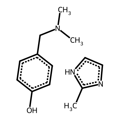 CN(C)Cc1ccc(O)cc1.Cc1ncc[nH]1